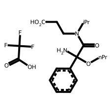 CCCOC(N)(C(=O)N(CCC(=O)O)C(C)C)c1ccccc1.O=C(O)C(F)(F)F